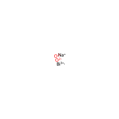 [Bi+3].[Na+].[O-2].[O-2]